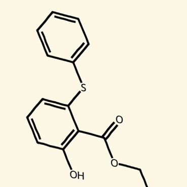 CCOC(=O)c1c(O)cccc1Sc1ccccc1